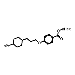 CCCCCCOC(=O)c1ccc(OCCCC2CCC(CCC)CC2)cc1